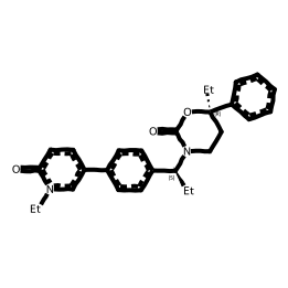 CC[C@@H](c1ccc(-c2ccc(=O)n(CC)c2)cc1)N1CC[C@](CC)(c2ccccc2)OC1=O